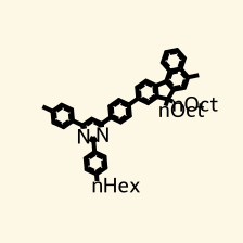 CCCCCCCCC1(CCCCCCCC)c2cc(-c3ccc(-c4cc(-c5ccc(C)cc5)nc(-c5ccc(CCCCCC)cc5)n4)cc3)ccc2-c2c1cc(C)c1ccccc21